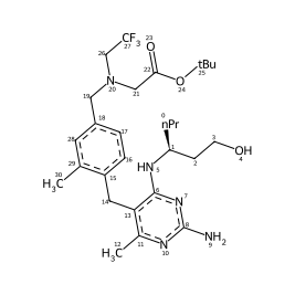 CCC[C@@H](CCO)Nc1nc(N)nc(C)c1Cc1ccc(CN(CC(=O)OC(C)(C)C)CC(F)(F)F)cc1C